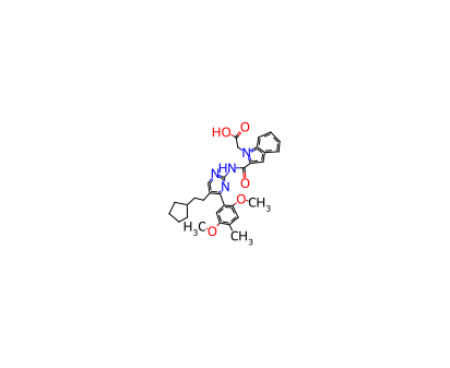 COc1cc(-c2nc(NC(=O)c3cc4ccccc4n3CC(=O)O)ncc2CCC2CCCC2)c(OC)cc1C